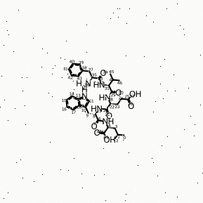 CC(C)C[C@H](NC(=O)[C@H](Cc1c[nH]c2ccccc12)NC(=O)[C@H](CCC(=O)O)NC(=O)[C@@H](NC(=O)[C@@H](N)Cc1ccccc1)C(C)C)C(=O)O